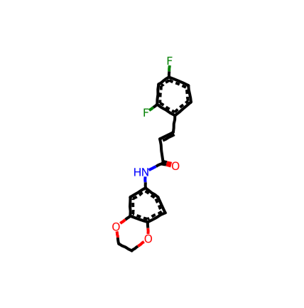 O=C(/C=C/c1ccc(F)cc1F)Nc1ccc2c(c1)OCCO2